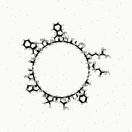 CCCC[C@H]1C(=O)N(C)[C@@H](CCCC)C(=O)N[C@@H](CCCNC(=N)N)C(=O)N[C@H](C(=O)NCC(N)=O)CSCC(=O)N[C@@H](Cc2ccccc2)C(=O)N(C)[C@@H](C)C(=O)N[C@@H](CC(N)=O)C(=O)N2CC(F)(F)C[C@H]2C(=O)N[C@@H](Cc2cnc[nH]2)C(=O)N[C@@H](CC(C)C)C(=O)N(C)CC(=O)N[C@@H](Cc2c[nH]c3ccccc23)C(=O)N[C@@H](CO)C(=O)N[C@@H](Cc2c[nH]c3ccccc23)C(=O)N1C